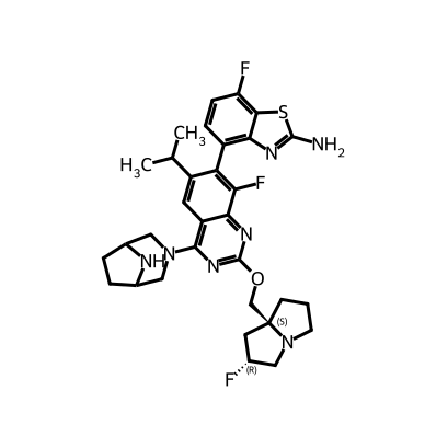 CC(C)c1cc2c(N3CC4CCC(C3)N4)nc(OC[C@@]34CCCN3C[C@H](F)C4)nc2c(F)c1-c1ccc(F)c2sc(N)nc12